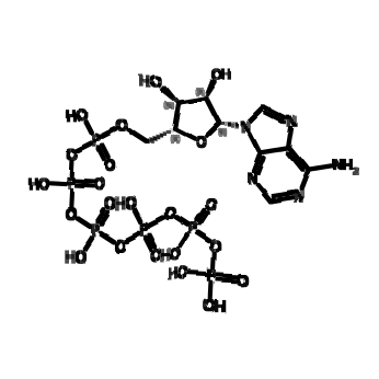 Nc1ncnc2c1ncn2[C@@H]1O[C@H](COP(=O)(O)OP(=O)(O)OP(=O)(O)OP(=O)(O)OP(=O)(O)OP(=O)(O)O)[C@@H](O)[C@H]1O